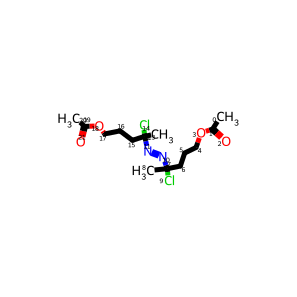 CC(=O)OCCCC(C)(Cl)N=NC(C)(Cl)CCCOC(C)=O